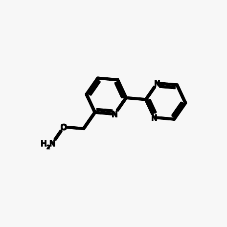 NOCc1cccc(-c2ncccn2)n1